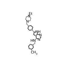 CCN1CCN(Cc2ccc(-c3cc4c(NCc5cccc(C)c5)ncnc4[nH]3)cc2)CC1